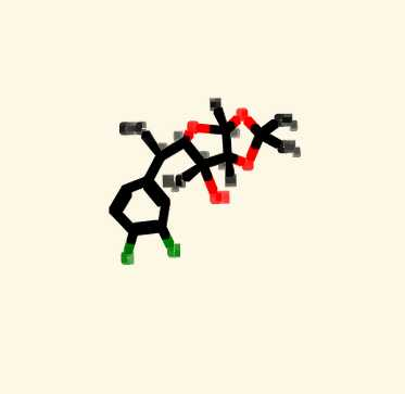 CC1(C)O[C@H]2O[C@H]([C@H](C=O)c3ccc(Cl)c(Cl)c3)[C@@](C)(O)[C@H]2O1